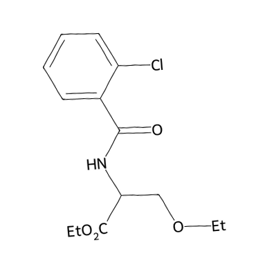 CCOCC(NC(=O)c1ccccc1Cl)C(=O)OCC